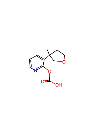 CC1(c2cccnc2OC(=O)O)CCOC1